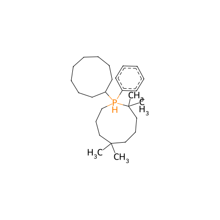 CC1(C)CCCC(C)(C)[PH](c2ccccc2)(C2CCCCCCCC2)CCC1